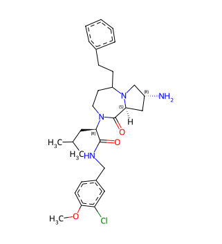 COc1ccc(CNC(=O)[C@@H](CC(C)C)N2CCC(CCc3ccccc3)N3C[C@H](N)C[C@H]3C2=O)cc1Cl